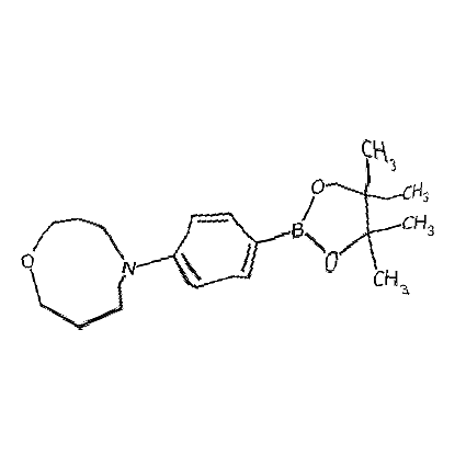 CC1(C)OB(c2ccc(N3CCCOCC3)cc2)OC1(C)C